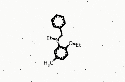 CCOc1ccc(C)cc1N(CC)Cc1ccccc1